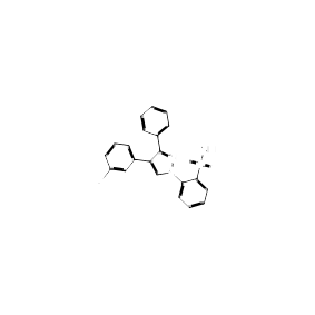 NS(=O)(=O)c1ccccc1-n1cc(-c2cccc(Br)c2)c(-c2ccccc2)n1